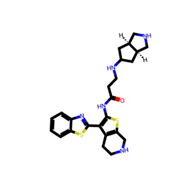 O=C(CCNC1C[C@H]2CNC[C@H]2C1)Nc1sc2c(c1-c1nc3ccccc3s1)CCNC2